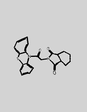 O=C1C2CCCCC2C(=O)N1CC(=O)N1c2ccccc2Sc2ccccc21